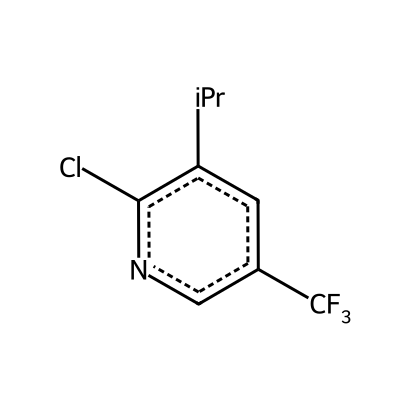 CC(C)c1cc(C(F)(F)F)cnc1Cl